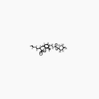 C=CCCC1Cc2ccc(CCC(=O)OC3CCC(C)CC3)c(F)c2OC1=O